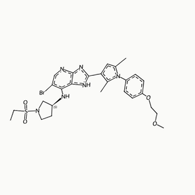 CCS(=O)(=O)N1CC[C@H](Nc2c(Br)cnc3nc(-c4cc(C)n(-c5ccc(OCCOC)cc5)c4C)[nH]c23)C1